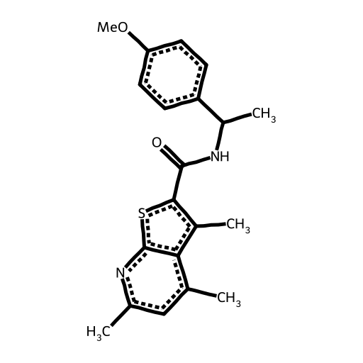 COc1ccc(C(C)NC(=O)c2sc3nc(C)cc(C)c3c2C)cc1